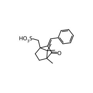 CC12CCC(CS(=O)(=O)O)(C(=Cc3ccccc3)C1=O)C2(C)C